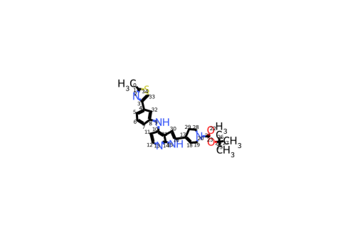 Cc1nc(-c2cccc(Nc3ccnc4[nH]c(C5=CCN(C(=O)OC(C)(C)C)CC5)cc34)c2)cs1